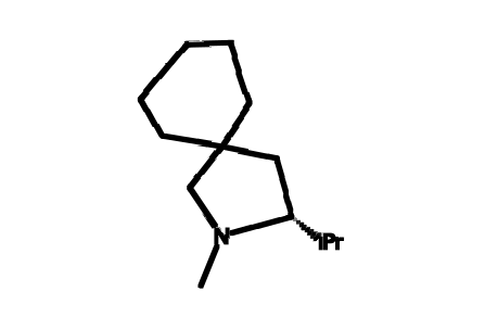 CC(C)[C@H]1CC2(CCCCC2)CN1C